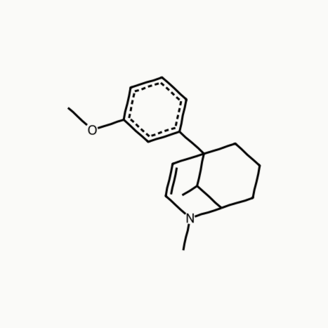 COc1cccc(C23C=CN(C)C(CCC2)C3C)c1